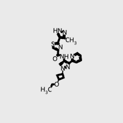 CCO[C@H]1C[C@@H](n2cc(NC(=O)c3csc(-c4c[nH]nc4C)n3)c(-c3ccccn3)n2)C1